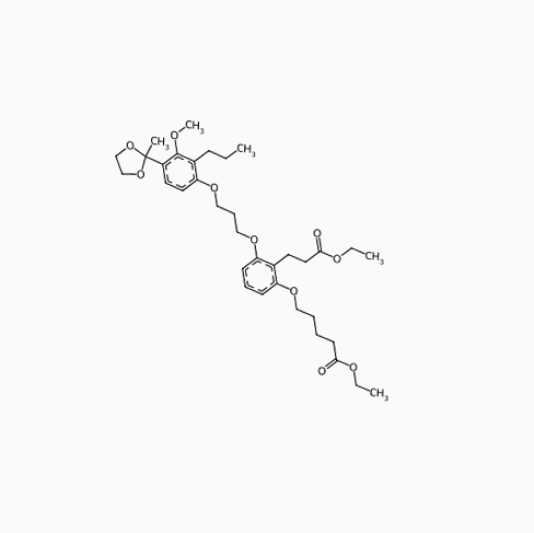 CCCc1c(OCCCOc2cccc(OCCCCC(=O)OCC)c2CCC(=O)OCC)ccc(C2(C)OCCO2)c1OC